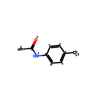 [CH2]CCC(=O)Nc1ccc(C(F)(F)F)cc1